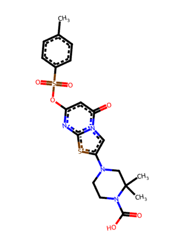 Cc1ccc(S(=O)(=O)Oc2cc(=O)n3cc(N4CCN(C(=O)O)C(C)(C)C4)sc3n2)cc1